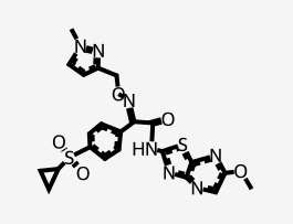 COc1cnc2nc(NC(=O)/C(=N/OCc3ccn(C)n3)c3ccc(S(=O)(=O)C4CC4)cc3)sc2n1